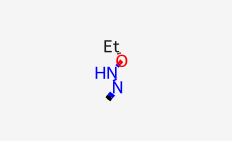 C=NNOCC